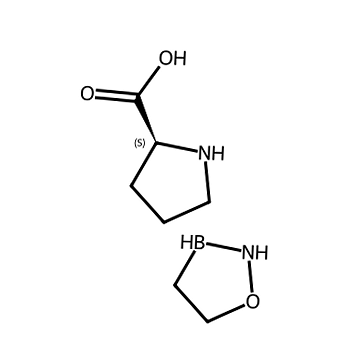 B1CCON1.O=C(O)[C@@H]1CCCN1